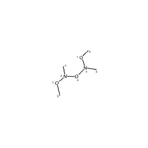 CON(C)ON(C)OC